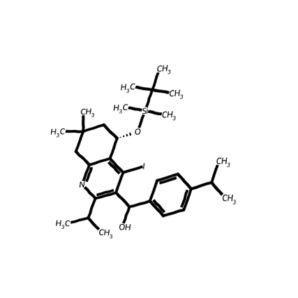 CC(C)c1ccc(C(O)c2c(C(C)C)nc3c(c2I)[C@@H](O[Si](C)(C)C(C)(C)C)CC(C)(C)C3)cc1